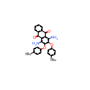 CC(C)(C)c1ccc(Oc2c(N)c3c(c(N)c2Oc2ccc(C(C)(C)C)cc2)C(=O)c2ccccc2C3=O)cc1